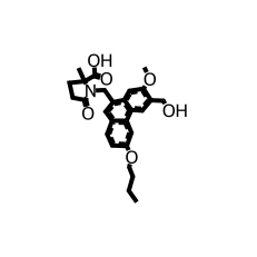 CCCCOc1ccc2cc(CN3C(=O)CCC3(C)C(=O)O)c3cc(OC)c(CO)cc3c2c1